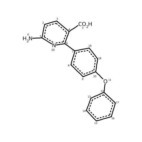 Nc1ccc(C(=O)O)c(-c2ccc(Oc3ccccc3)cc2)n1